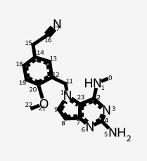 CNc1nc(N)nc2ccn(Cc3cc(CC#N)ccc3OC)c12